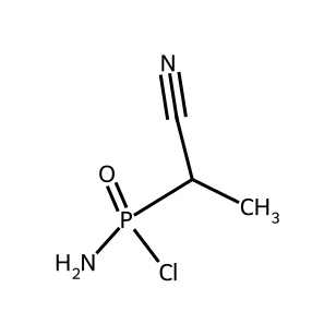 CC(C#N)P(N)(=O)Cl